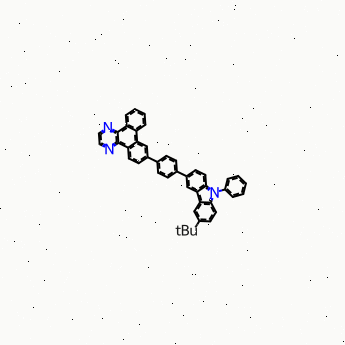 CC(C)(C)c1ccc2c(c1)c1cc(-c3ccc(-c4ccc5c(c4)c4ccccc4c4nccnc54)cc3)ccc1n2-c1ccccc1